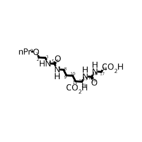 CCCOCCNC(=O)NCCCC[C@H](NC(=O)NCC(=O)O)C(=O)O